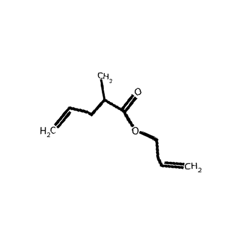 C=CCOC(=O)C(C)CC=C